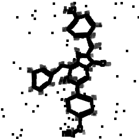 CCCCOc1ccc(-c2cn3c(=O)c(Cc4ccc(O)cc4)nc-3c(Cc3ccccc3)[nH]2)cc1